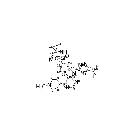 CN1CCC(c2ncnc3c2c2ccc(S(=O)(=O)NC4(C#N)CC4)cc2n3-c2nnc(C(F)F)s2)CC1